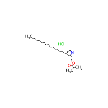 C=C(C)C(=O)OCCc1cc(CCCCCCCCCCCCCCCC)ccn1.Cl